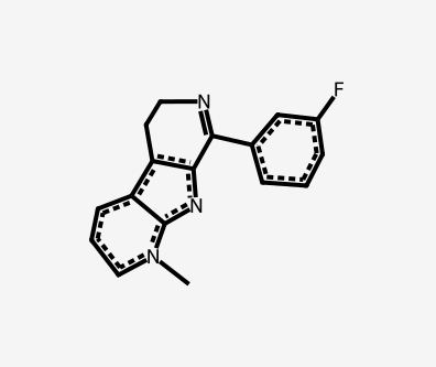 Cn1cccc2c3c(nc1-2)C(c1cccc(F)c1)=NCC3